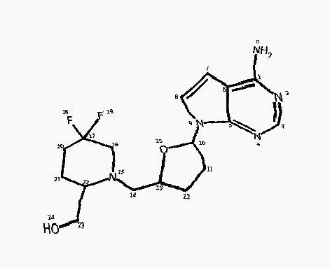 Nc1ncnc2c1ccn2C1CCC(CN2CC(F)(F)CCC2CO)O1